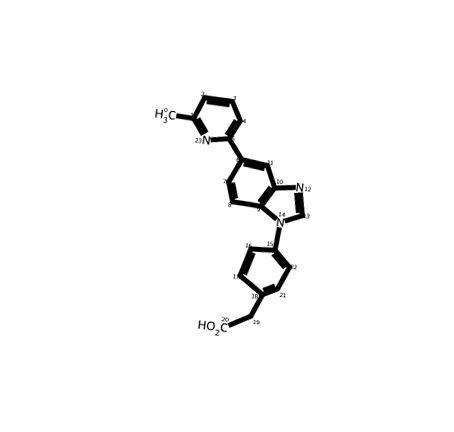 Cc1cccc(-c2ccc3c(c2)ncn3-c2ccc(CC(=O)O)cc2)n1